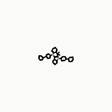 CC1(C)c2ccccc2N(c2ccc(-c3ccccc3)cc2)c2c1n(-c1ccc(-c3ccccc3)cc1)c1ccccc21